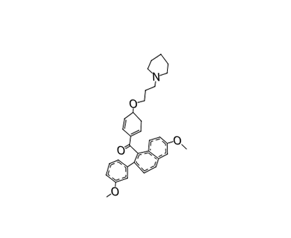 COc1cccc(-c2ccc3cc(OC)ccc3c2C(=O)C2=CCC(OCCCN3CCCCC3)C=C2)c1